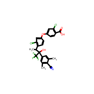 Cc1cc(C(O)(C(C)c2ccc(Oc3ccc(C(=O)O)c(Cl)c3)cc2Cl)C(F)(F)F)cc(C)c1C#N